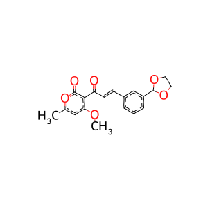 COc1cc(C)oc(=O)c1C(=O)C=Cc1cccc(C2OCCO2)c1